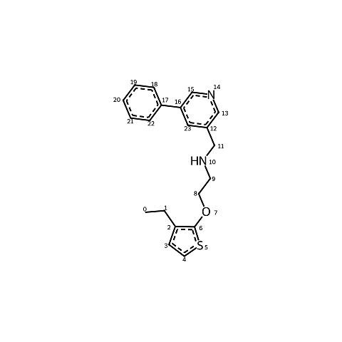 CCc1ccsc1OCCNCc1cncc(-c2ccccc2)c1